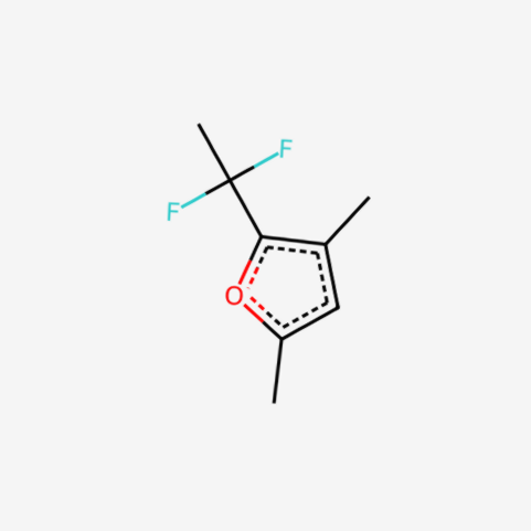 Cc1cc(C)c(C(C)(F)F)o1